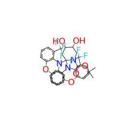 CC(C)(C)OC(=O)N1CC(O)C(O)CC1(N1c2ccccc2Oc2cccc(C(F)(F)F)c21)N1c2ccccc2Oc2cccc(C(F)(F)F)c21